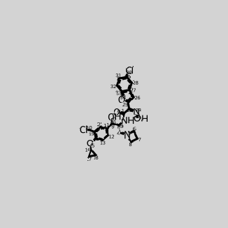 O=C(N[C@H](CN1CCC1)[C@H](O)c1ccc(OC2CC2)c(Cl)c1)C(=NO)c1cc2cc(Cl)ccc2o1